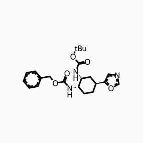 CC(C)(C)OC(=O)N[C@@H]1C[C@@H](c2cnco2)CC[C@@H]1NC(=O)OCc1ccccc1